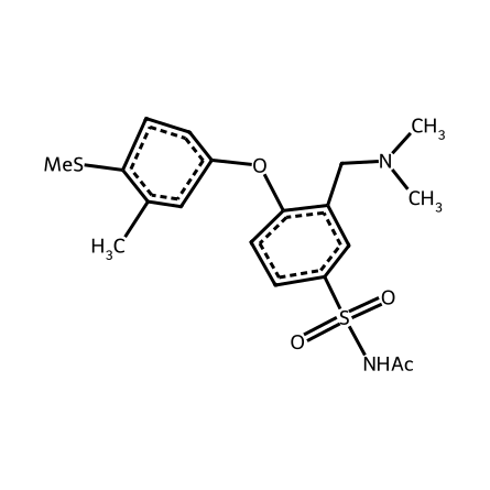 CSc1ccc(Oc2ccc(S(=O)(=O)NC(C)=O)cc2CN(C)C)cc1C